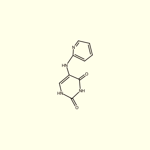 O=c1[nH]cc(Nc2ccccn2)c(=O)[nH]1